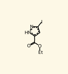 CCOC(=O)c1cc(I)n[nH]1